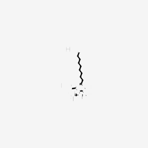 [2H]C([2H])([2H])N(CCO)C(=N)NC(=O)CCCCCCCCCC